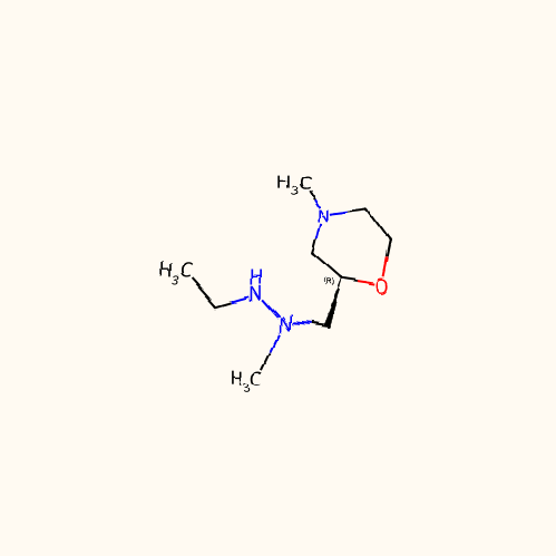 CCNN(C)C[C@H]1CN(C)CCO1